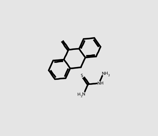 C=C1c2ccccc2Cc2ccccc21.NNC(N)=S